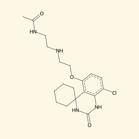 CC(=O)NCCNCCOc1ccc(Cl)c2c1C1(C[CH]CCC1)NC(=O)N2